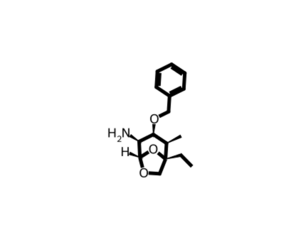 CC[C@@]12CO[C@@H](O1)[C@@H](N)[C@@H](OCc1ccccc1)[C@H]2C